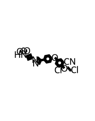 CS(=O)(=O)NC12CC(n3cc(-c4ccc(Oc5cc(Cl)c(OCCCl)c(C#N)c5)cc4)cn3)(C1)C2